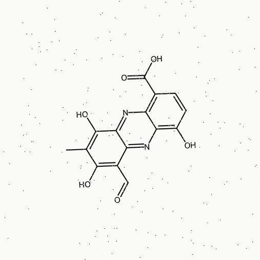 Cc1c(O)c(C=O)c2nc3c(O)ccc(C(=O)O)c3nc2c1O